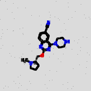 CN1CCC[C@H]1COc1nc(N2CCNCC2)c2cc(C#N)ccc2n1